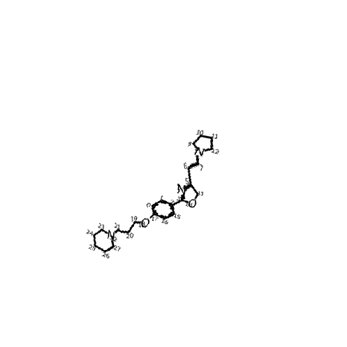 c1cc(C2=NC(CCN3CCCC3)CO2)ccc1OCCCN1CCCCC1